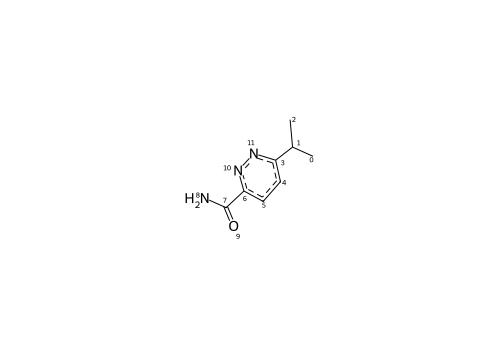 CC(C)c1ccc(C(N)=O)nn1